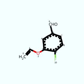 C=COc1cc(C=O)ccc1F